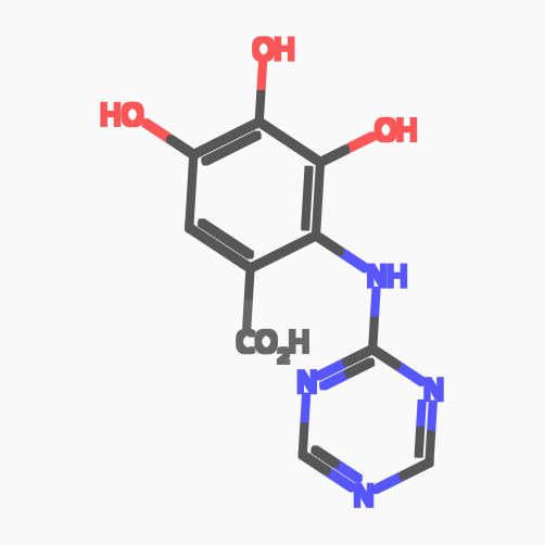 O=C(O)c1cc(O)c(O)c(O)c1Nc1ncncn1